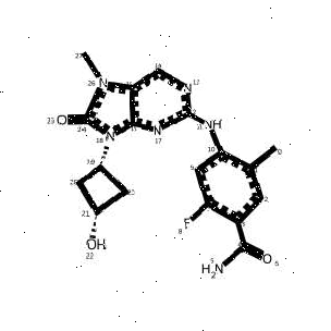 Cc1cc(C(N)=O)c(F)cc1Nc1ncc2c(n1)n([C@H]1C[C@@H](O)C1)c(=O)n2C